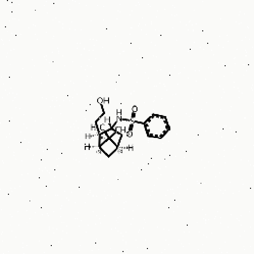 CC1(C)[C@H]2C[C@@H](NS(=O)(=O)c3ccccc3)[C@H](CCO)[C@@H]1C2